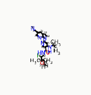 [2H]C([2H])([2H])OC(C)(C)C(F)CNC(=O)c1cnc(-n2ccc3cc(C#N)cnc32)cc1NC(C)C